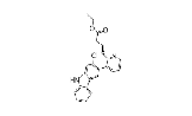 CCOC(=O)CCSc1ncccc1-c1cc2c(cc1Cl)[nH]c1ccccc12